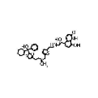 CN(CCc1cnc(C(O)(c2ccccc2)C2CCCCC2)o1)Cc1ccc(CCNC[C@H](O)c2ccc(O)c3[nH]c(=O)ccc23)s1